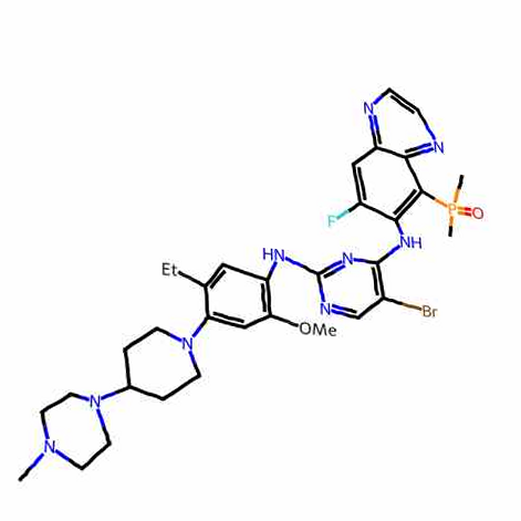 CCc1cc(Nc2ncc(Br)c(Nc3c(F)cc4nccnc4c3P(C)(C)=O)n2)c(OC)cc1N1CCC(N2CCN(C)CC2)CC1